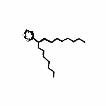 CCCCCCCCC(CCCCCCC)c1ccno1